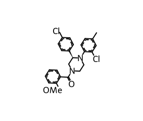 COc1ccccc1C(=O)N1CCN(c2ccc(C)cc2Cl)[C@H](c2ccc(Cl)cc2)C1